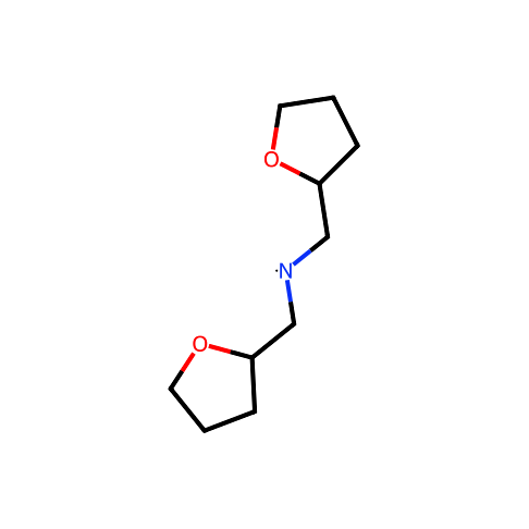 C1COC(C[N]CC2CCCO2)C1